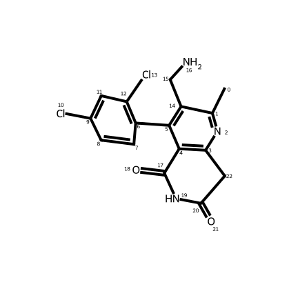 Cc1nc2c(c(-c3ccc(Cl)cc3Cl)c1CN)C(=O)NC(=O)C2